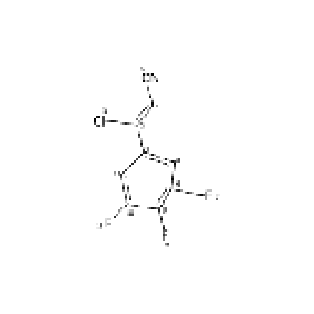 N#CC=C(Cl)c1cc(F)c(F)c(F)c1